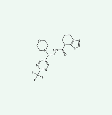 O=C(NCC(c1cnc(C(F)(F)F)nc1)N1CCOCC1)C1CCCc2ncsc21